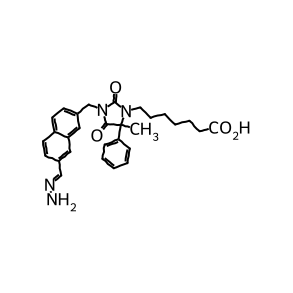 CC1(c2ccccc2)C(=O)N(Cc2ccc3ccc(C=NN)cc3c2)C(=O)N1CCCCCCC(=O)O